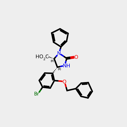 O=C(O)[C@H]1[C@@H](c2ccc(Br)cc2OCc2ccccc2)NC(=O)N1c1ccccc1